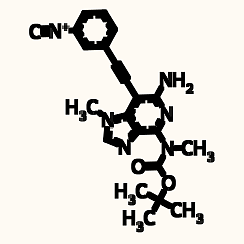 [C-]#[N+]c1cccc(C#Cc2c(N)nc(N(C)C(=O)OC(C)(C)C)c3ncn(C)c23)c1